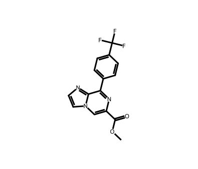 COC(=O)c1cn2ccnc2c(-c2ccc(C(F)(F)F)cc2)n1